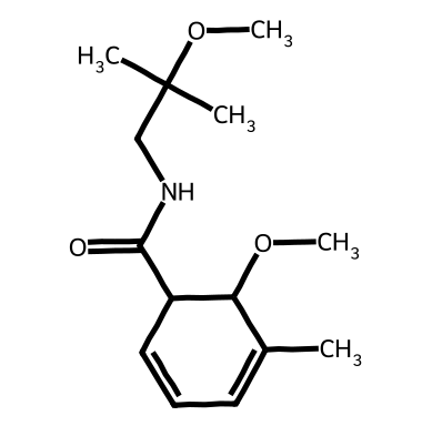 COC1C(C)=CC=CC1C(=O)NCC(C)(C)OC